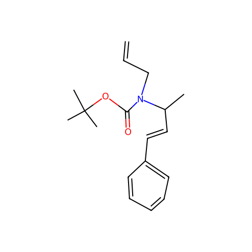 C=CCN(C(=O)OC(C)(C)C)C(C)C=Cc1ccccc1